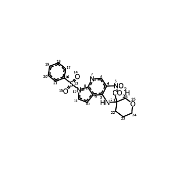 O=C(O)C1(Nc2c([N+](=O)[O-])cnc3c2ccn3S(=O)(=O)c2ccccc2)CCCOC1